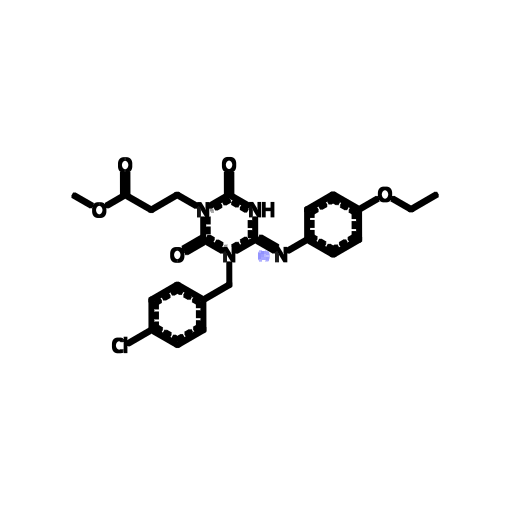 CCOc1ccc(/N=c2\[nH]c(=O)n(CCC(=O)OC)c(=O)n2Cc2ccc(Cl)cc2)cc1